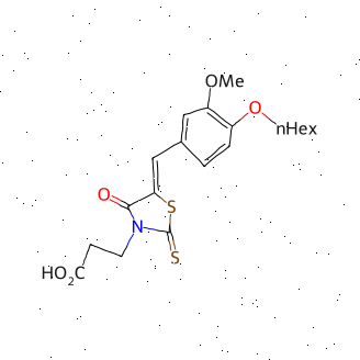 CCCCCCOc1ccc(/C=C2\SC(=S)N(CCC(=O)O)C2=O)cc1OC